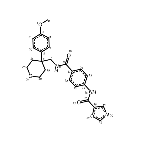 COc1ccc(C2(CNC(=O)c3ccc(NC(=O)c4cnco4)cc3)CCOCC2)cc1